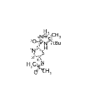 CC(C)(C)[Si](C)(C)NS(=N)(=O)c1ncc(N=S(C)(C)=O)s1